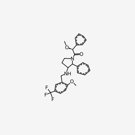 COc1ccc(C(F)(F)F)cc1CNC1CCN(C(=O)[C@@H](OC)c2ccccc2)C1c1ccccc1